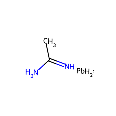 CC(=N)N.[PbH2]